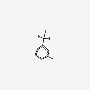 [CH2]c1cccc(C(I)(I)I)c1